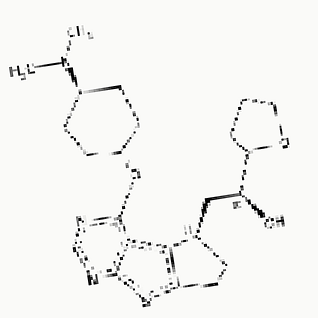 CN(C)[C@H]1CC[C@H](Oc2ncnc3sc4c(c23)[C@@H](C[C@H](O)C2CCCO2)CC4)CC1